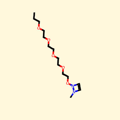 CCCOCCOCCOCCOCCOn1ccn1C